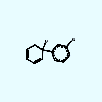 CCc1cccc(C2(CC)C=CC=CC2)c1